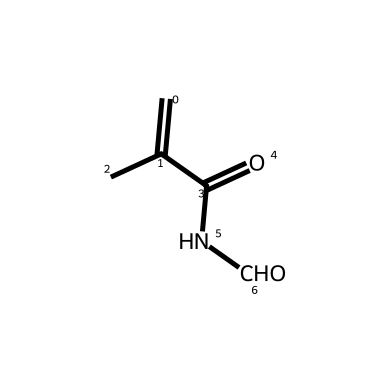 C=C(C)C(=O)NC=O